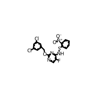 O=[N+]([O-])c1ccccc1SNc1nc(OCc2cc(Cl)cc(Cl)c2)ncc1F